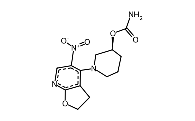 NC(=O)O[C@H]1CCCN(c2c([N+](=O)[O-])cnc3c2CCO3)C1